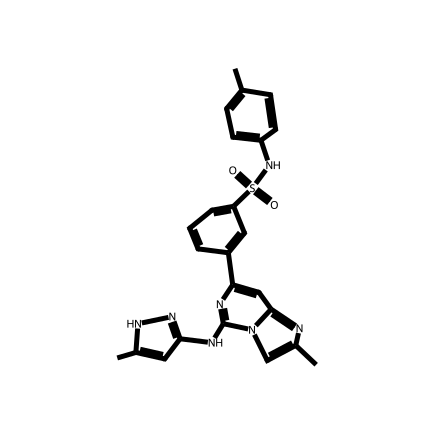 Cc1ccc(NS(=O)(=O)c2cccc(-c3cc4nc(C)cn4c(Nc4cc(C)[nH]n4)n3)c2)cc1